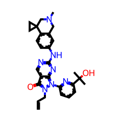 C=CCn1c(=O)c2cnc(Nc3ccc4c(c3)CN(C)CC43CC3)nc2n1-c1cccc(C(C)(C)O)n1